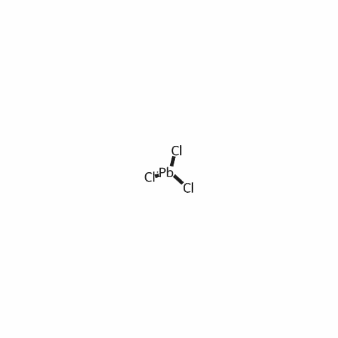 [Cl][Pb]([Cl])[Cl]